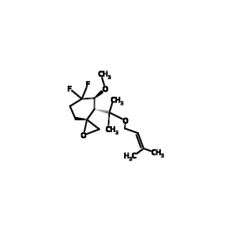 CO[C@H]1[C@H](C(C)(C)OCC=C(C)C)[C@]2(CCC1(F)F)CO2